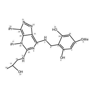 COc1cc(O)c(CNc2nc(NCC(C)O)n(C(C)C)c3c(C(C)C)nnc2-3)c(O)c1